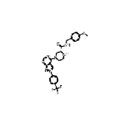 CSc1ccc(CNC(=O)[C@H]2CN(c3ncnc4nn(-c5ccc(C(F)(F)F)cc5)cc34)CCN2)cc1